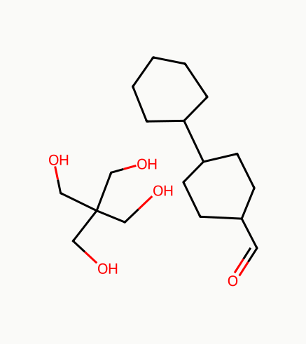 O=CC1CCC(C2CCCCC2)CC1.OCC(CO)(CO)CO